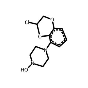 ON1CCN(c2cccc3c2OC(Cl)CO3)CC1